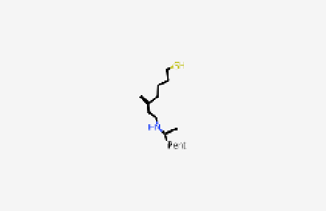 C=C(CCCCS)CCNC(C)C(C)CCC